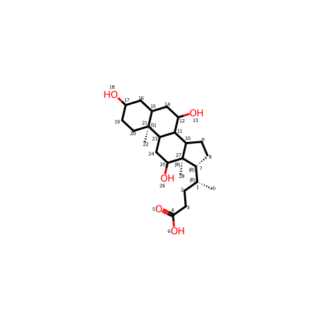 C[C@H](CCC(=O)O)[C@H]1CCC2C3C(O)CC4CC(O)CC[C@]4(C)C3CC(O)[C@@]21C